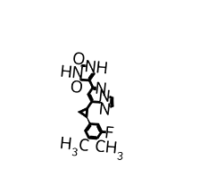 Cc1cc([C@H]2CC2c2cc(-c3c[nH]c(=O)[nH]c3=O)nn3ccnc23)cc(F)c1C